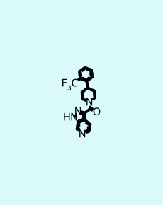 O=C(c1n[nH]c2cnccc12)N1CCC(c2ccccc2C(F)(F)F)CC1